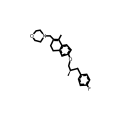 CC1=C(CN2CCOCC2)CCc2cc(OC[C@H](C)Cc3ccc(F)cc3)ccc21